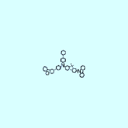 CC1(C)c2cc(N(c3ccc(-c4ccccc4)cc3)c3ccc(-c4ccc5oc6ccccc6c5c4)cc3)ccc2-c2ccc(-n3c4ccccc4c4ccccc43)cc21